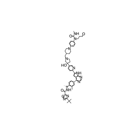 CNC(=O)N(CCC=O)c1ccc(N2CCC(CN3CCC(O)(c4ccc(-c5cc6c(-c7ccc([C@@H](C)NC(=O)c8nc(C(C)(C)C)no8)c(C)c7)ncnc6[nH]5)nc4)C3)CC2)cc1